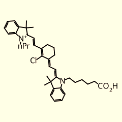 CCC[N+]1=C(/C=C/C2=C(Cl)C(=C/C=C3/N(CCCCCC(=O)O)c4ccccc4C3(C)C)/CCC2)C(C)(C)c2ccccc21